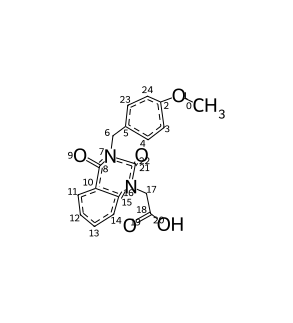 COc1ccc(Cn2c(=O)c3ccccc3n(CC(=O)O)c2=O)cc1